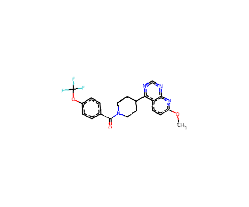 COc1ccc2c(C3CCN(C(=O)c4ccc(OC(F)(F)F)cc4)CC3)ncnc2n1